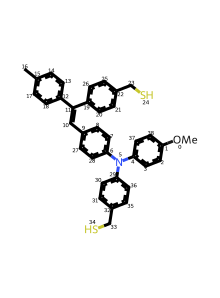 COc1ccc(N(c2ccc(C=C(c3ccc(C)cc3)c3ccc(CS)cc3)cc2)c2ccc(CS)cc2)cc1